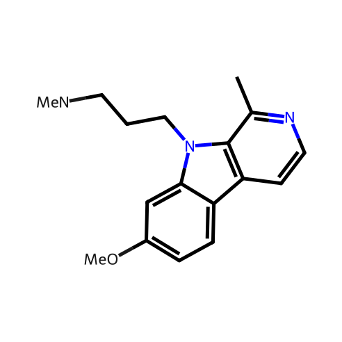 CNCCCn1c2cc(OC)ccc2c2ccnc(C)c21